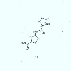 O=C(N[C@H]1CCN(C(=O)O)C1)[C@@H]1CCCN1